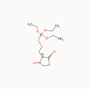 CCO[Si](CCC[SiH]1C(=O)CCC1=O)(OCC)OCC